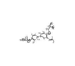 C/C=C/c1cc(-c2ccc(OCCCC)cc2)ccc1OCC(F)F